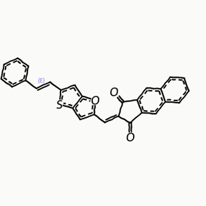 O=C1C(=Cc2cc3sc(/C=C/c4ccccc4)cc3o2)C(=O)c2cc3ccccc3cc21